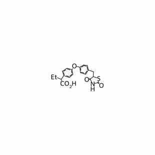 CCC(C(=O)O)c1ccc(Oc2ccc(CC3SC(=O)NC3=O)cc2)cc1